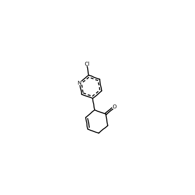 O=C1CCC=CC1c1ccc(Cl)nc1